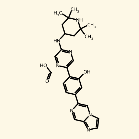 CC1(C)CC(Nc2cnc(-c3ccc(-c4cn5ccnc5cn4)cc3O)cn2)CC(C)(C)N1.O=CO